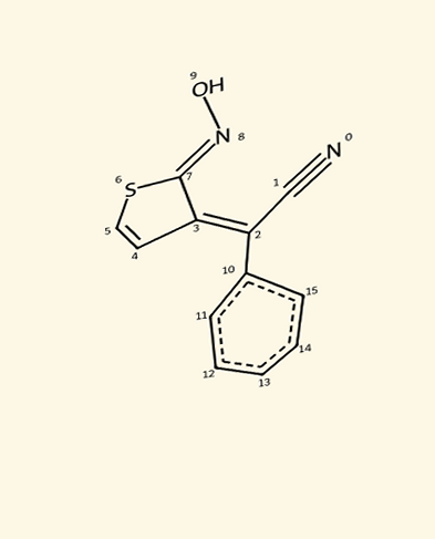 N#C/C(=C1/C=CS/C1=N\O)c1ccccc1